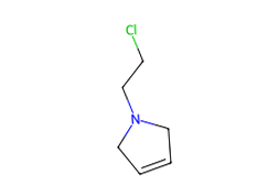 ClCCN1CC=CC1